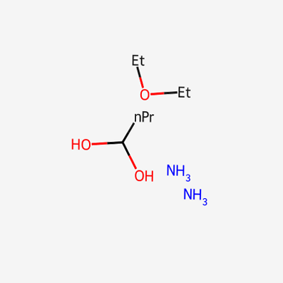 CCCC(O)O.CCOCC.N.N